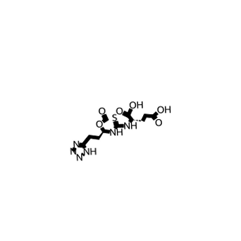 O=CO[C@H](CCc1nnn[nH]1)NC(=S)N[C@@H](CCC(=O)O)C(=O)O